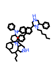 CCCCCCN1C(c2ccccc2)CNCC1c1ccc(-c2ccc(N3C4C5CNCC4C4CC(N(c6ccccc6)c6ccccc6)CCC43C3CCC(CC3)CC5CCC)cc2)cc1